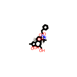 CC1=C[C@H]2[C@@]3(O)[C@H](C)C[C@@]4(OC(=O)Cc5ccccc5)N=NC(C)(C)[C@H]4[C@@H]3C=C(CO)C[C@]2(O)C1=O